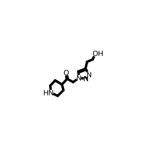 O=C(Cn1cc(CCO)nn1)C1CCNCC1